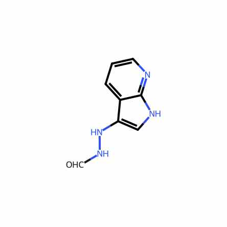 O=CNNc1c[nH]c2ncccc12